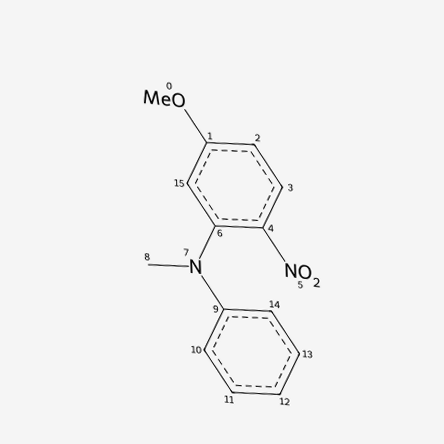 COc1ccc([N+](=O)[O-])c(N(C)c2ccccc2)c1